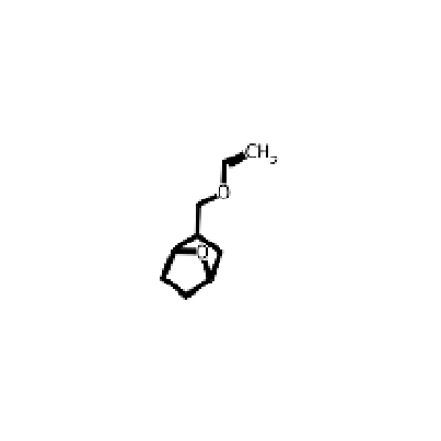 C=COCC1CC2CCC1O2